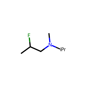 CC(F)CN(C)C(C)C